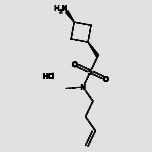 C=CCCN(C)S(=O)(=O)C[C@H]1C[C@@H](N)C1.Cl